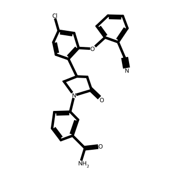 N#Cc1ccccc1Oc1cc(Cl)ccc1C1CC(=O)N(c2cccc(C(N)=O)c2)C1